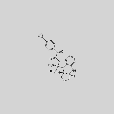 NC(CC(=O)C(=O)c1ccc(C2CC2)cc1)(C(=O)O)C1c2ccccc2N[C@@H]2CCC[C@H]12